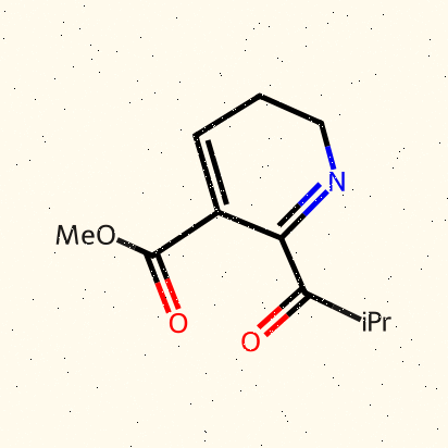 COC(=O)C1=CCCN=C1C(=O)C(C)C